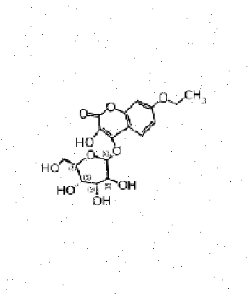 CCOc1ccc2c(O[C@@H]3O[C@H](CO)[C@@H](O)[C@H](O)[C@@H]3O)c(O)c(=O)oc2c1